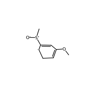 COC1=CC[CH]C([S+](C)[O-])=C1